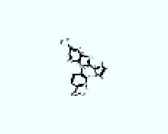 COc1ccc(-n2c(-c3nccs3)nc3cc(C(F)(F)F)cnc32)cn1